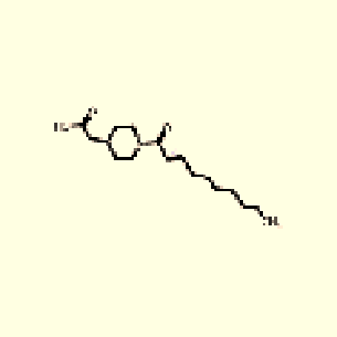 CCCCCCC/C=C/C(=O)N1CCC(CC(=O)O)CC1